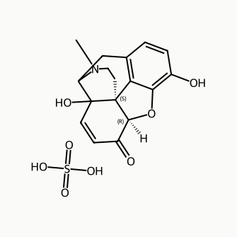 CN1CC[C@]23c4c5ccc(O)c4O[C@H]2C(=O)C=CC3(O)C1C5.O=S(=O)(O)O